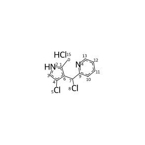 Cc1[nH]cc(Cl)c1C(Cl)c1ccccn1.Cl